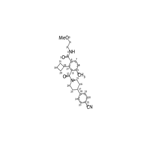 COCCNC(=O)c1ccc(C)c(C(=O)N2CCC(c3ccc(C#N)cc3)CC2)c1C1CCC1